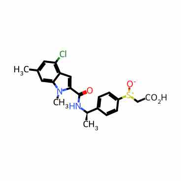 Cc1cc(Cl)c2cc(C(=O)N[C@H](C)c3ccc([S+]([O-])CC(=O)O)cc3)n(C)c2c1